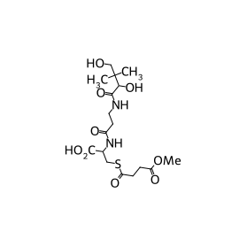 COC(=O)CCC(=O)SCC(NC(=O)CCNC(=O)C(O)C(C)(C)CO)C(=O)O